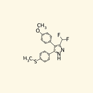 COc1ccc(-c2c(C(F)F)n[nH]c2-c2ccc(SC)cc2)cc1